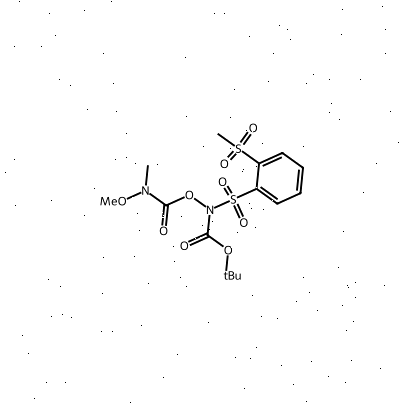 CON(C)C(=O)ON(C(=O)OC(C)(C)C)S(=O)(=O)c1ccccc1S(C)(=O)=O